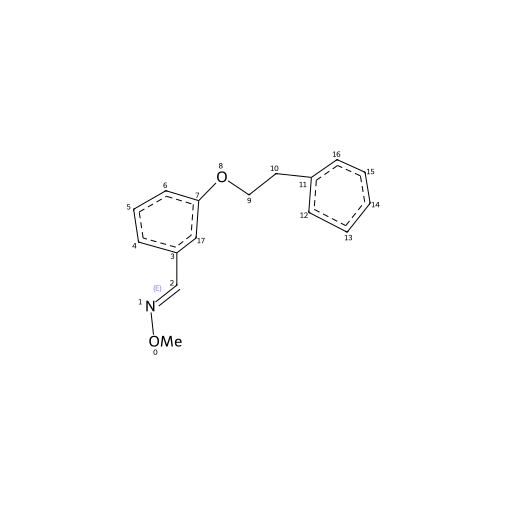 CO/N=C/c1cccc(OCCc2ccccc2)c1